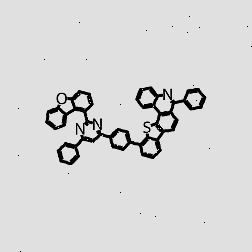 c1ccc(-c2cc(-c3ccc(-c4cccc5c4sc4c5ccc5c(-c6ccccc6)nc6ccccc6c54)cc3)nc(-c3cccc4oc5ccccc5c34)n2)cc1